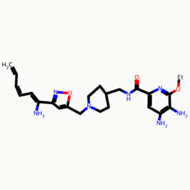 C=C/C=C\C=C(/N)c1cc(CN2CCC(CNC(=O)c3cc(N)c(N)c(OCC)n3)CC2)on1